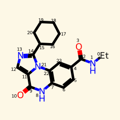 CCNC(=O)c1ccc2[nH]c(=O)c3cnc(C4CCCCC4)n3c2c1